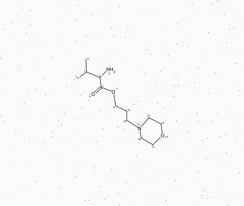 CC(C)C(N)C(=O)OCCCN1CCOCC1